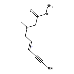 CN(C/C=C/C#CC(C)(C)C)CC(=O)NN